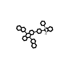 c1ccc(-[n+]2c(-c3ccc(-c4ccc5c(-c6ccc7ccccc7c6)c6ccccc6c(-c6ccc7ccccc7c6)c5c4)cc3)[nH]c3ccccc32)cc1